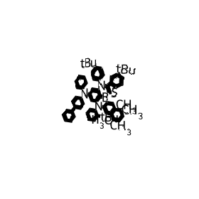 CC(C)(C)c1ccc(N2c3cc(N(c4ccccc4)c4ccc(-c5ccccc5)cc4)cc4c3B(c3cc5c(cc3N4c3ccccc3C(C)(C)C)C(C)(C)CCC5(C)C)c3sc4ccc(C(C)(C)C)cc4c32)cc1